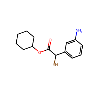 Nc1cccc(C(S)C(=O)OC2CCCCC2)c1